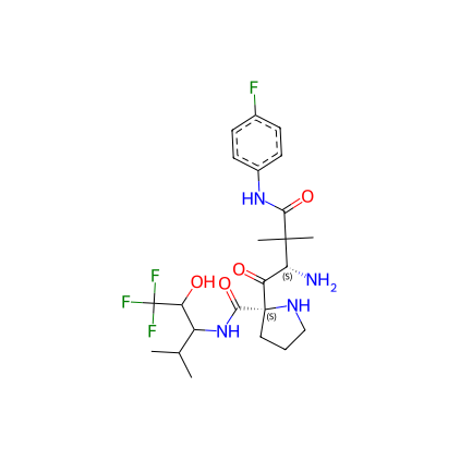 CC(C)C(NC(=O)[C@@]1(C(=O)[C@@H](N)C(C)(C)C(=O)Nc2ccc(F)cc2)CCCN1)C(O)C(F)(F)F